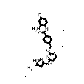 Cc1cc(Nc2ccnc(OCc3ccc(C(=O)Nc4ccc(F)cc4N)cc3)n2)n[nH]1